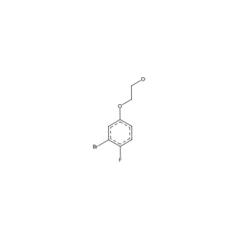 [O]CCOc1ccc(F)c(Br)c1